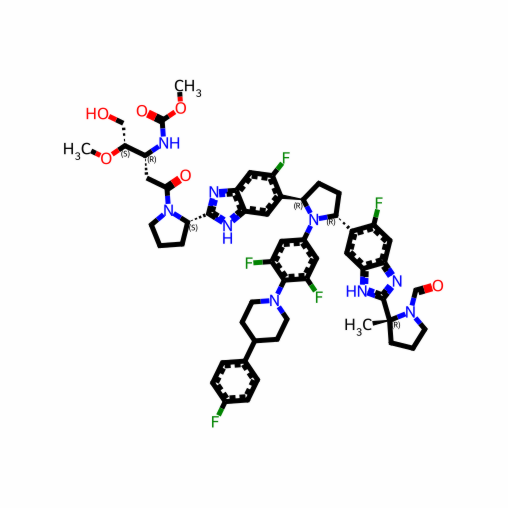 COC(=O)N[C@H](CC(=O)N1CCC[C@H]1c1nc2cc(F)c([C@H]3CC[C@H](c4cc5[nH]c([C@@]6(C)CCCN6C=O)nc5cc4F)N3c3cc(F)c(N4CCC(c5ccc(F)cc5)CC4)c(F)c3)cc2[nH]1)[C@@H](CO)OC